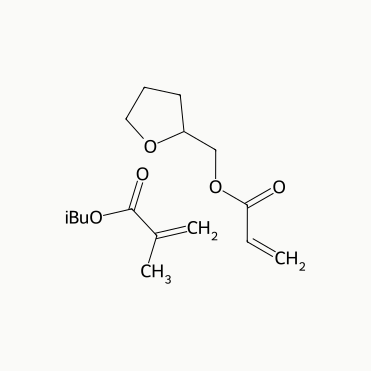 C=C(C)C(=O)OCC(C)C.C=CC(=O)OCC1CCCO1